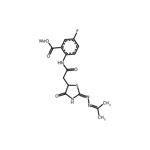 COC(=O)c1cc(F)ccc1NC(=O)CC1S/C(=N/N=C(C)C)NC1=O